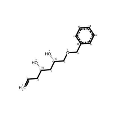 C=CC[C@H](O)C[C@H](O)COCc1ccccc1